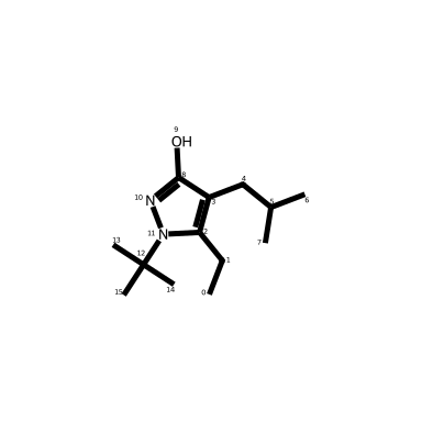 CCc1c(CC(C)C)c(O)nn1C(C)(C)C